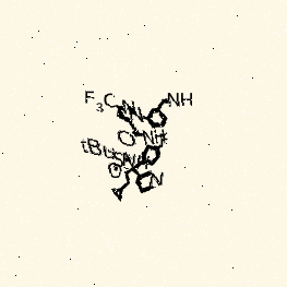 CC(C)(C)[S@@+]([O-])NC(CCC1CC1)(c1cccnc1)c1ccc(F)c(NC(=O)c2cc(C(F)(F)F)nn2-c2cccc(C=N)c2)c1